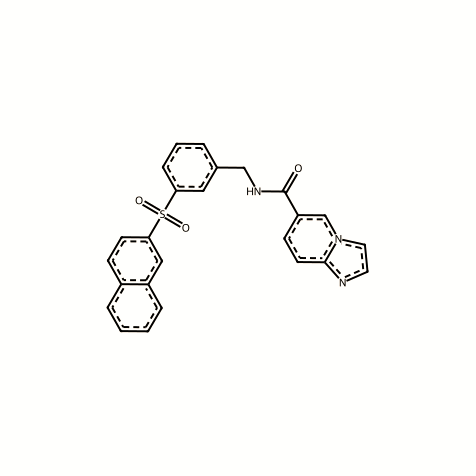 O=C(NCc1cccc(S(=O)(=O)c2ccc3ccccc3c2)c1)c1ccc2nccn2c1